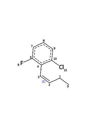 CC/C=C\c1c(F)cccc1Cl